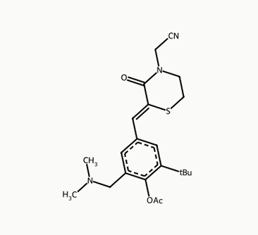 CC(=O)Oc1c(CN(C)C)cc(C=C2SCCN(CC#N)C2=O)cc1C(C)(C)C